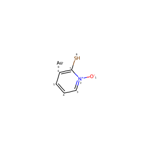 [Au].[O-][n+]1ccccc1S